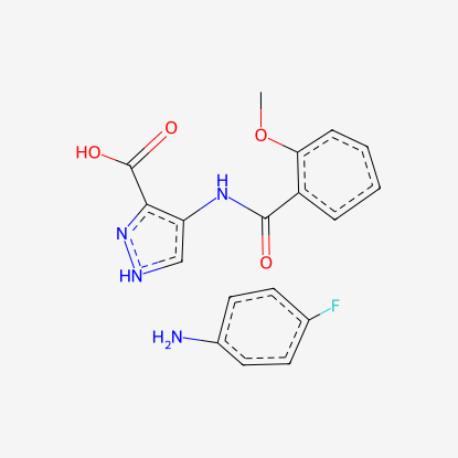 COc1ccccc1C(=O)Nc1c[nH]nc1C(=O)O.Nc1ccc(F)cc1